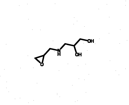 OCC(O)CNCC1CO1